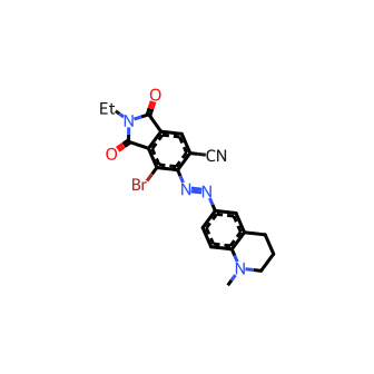 CCN1C(=O)c2cc(C#N)c(/N=N/c3ccc4c(c3)CCCN4C)c(Br)c2C1=O